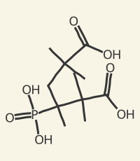 CC(C)(CC(C)(C(C)(C)C(=O)O)P(=O)(O)O)C(=O)O